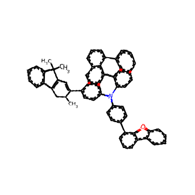 CC1CC2=C(C=C1c1ccc(N(c3ccc(-c4cccc5c4oc4ccccc45)cc3)c3ccccc3-c3cccc4cccc(-c5ccccc5)c34)cc1)C(C)(C)c1ccccc12